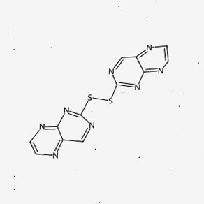 c1cnc2nc(SSc3ncc4nccnc4n3)ncc2n1